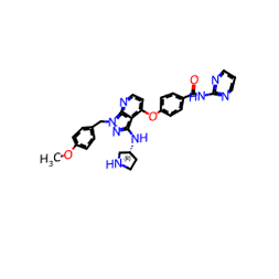 COc1ccc(Cn2nc(N[C@@H]3CCNC3)c3c(Oc4ccc(C(=O)Nc5ncccn5)cc4)ccnc32)cc1